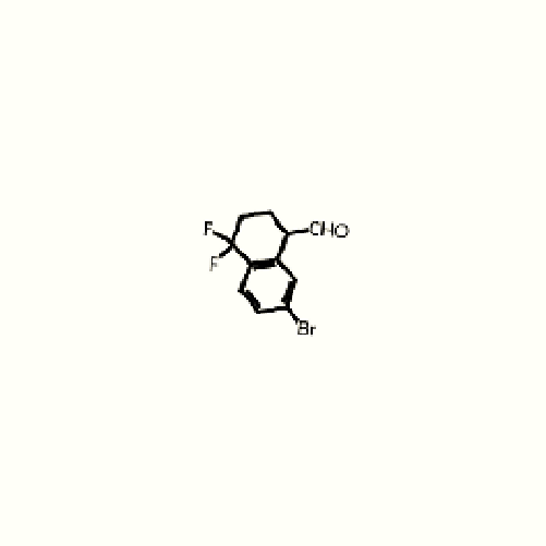 O=CC1CCC(F)(F)c2ccc(Br)cc21